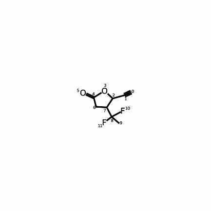 C#CC1OC(=O)CC1C(C)(F)F